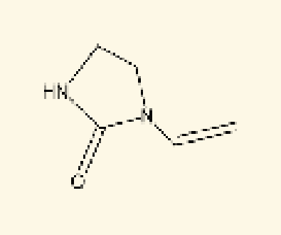 C=CN1CCNC1=O